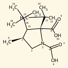 C[C@@H]1CN(C(=O)O)[C@](C(=O)O)(C(C)(C)C)C1C(C)(C)C